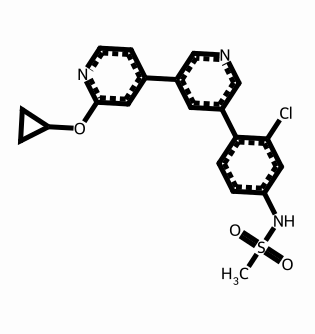 CS(=O)(=O)Nc1ccc(-c2cncc(-c3ccnc(OC4CC4)c3)c2)c(Cl)c1